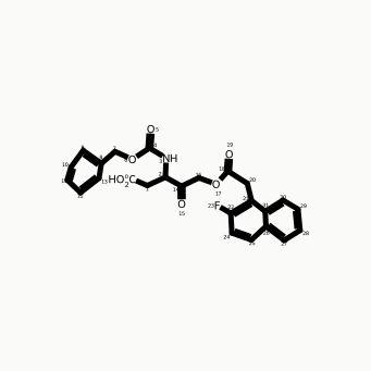 O=C(O)CC(NC(=O)OCc1ccccc1)C(=O)COC(=O)Cc1c(F)ccc2ccccc12